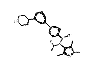 Cc1nn(C)c(C)c1N(C(F)F)[S+]([O-])c1ccc(-c2cccc(C3CCNCC3)c2)cc1